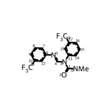 CNC(=O)N(C=Nc1cccc(C(F)(F)F)c1)c1cccc(C(F)(F)F)c1